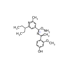 C=C(/N=C(\ON)c1cc(C)nc(C(CC)CC)c1)c1ccc(O)cc1OC